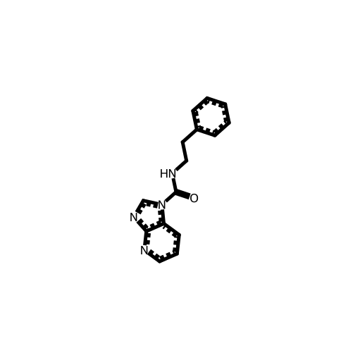 O=C(NCCc1ccccc1)n1cnc2ncccc21